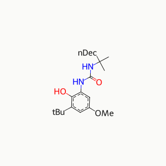 CCCCCCCCCCC(C)(C)NC(=O)Nc1cc(OC)cc(C(C)(C)C)c1O